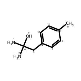 Cc1ccc(CC(N)(N)O)cc1